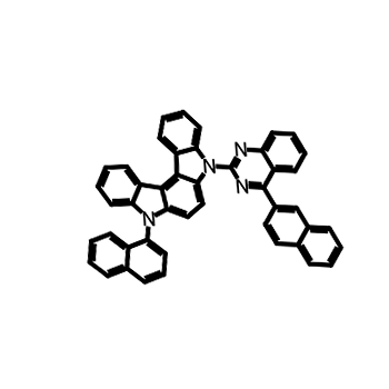 c1ccc2cc(-c3nc(-n4c5ccccc5c5c6c7ccccc7n(-c7cccc8ccccc78)c6ccc54)nc4ccccc34)ccc2c1